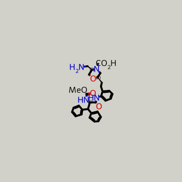 COC(=O)N[C@H](C(=O)Nc1ccccc1CC[C@@H]1CN(C(=O)O)[C@H](CN)CO1)C(c1ccccc1)c1ccccc1